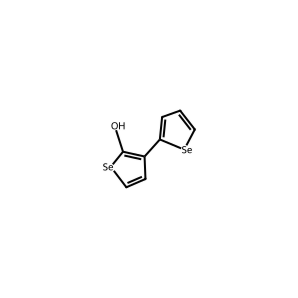 Oc1[se]ccc1-c1ccc[se]1